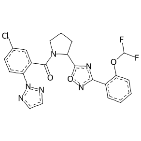 O=C(c1cc(Cl)ccc1-n1nccn1)N1CCCC1c1nc(-c2ccccc2OC(F)F)no1